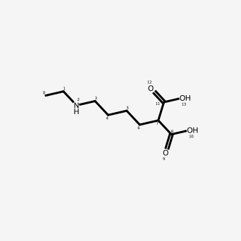 CCNCCCCC(C(=O)O)C(=O)O